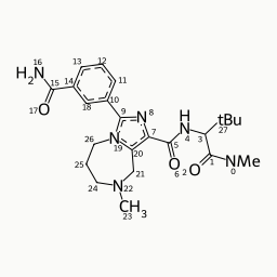 CNC(=O)C(NC(=O)c1nc(-c2cccc(C(N)=O)c2)n2c1CN(C)CCC2)C(C)(C)C